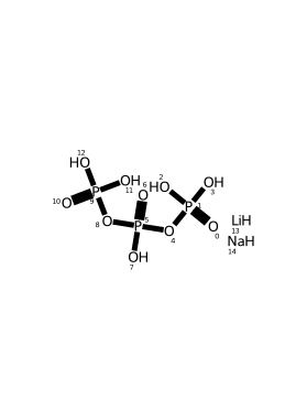 O=P(O)(O)OP(=O)(O)OP(=O)(O)O.[LiH].[NaH]